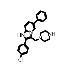 Clc1ccc(C2=C(CN3CCNCC3)N3C=C(c4ccccc4)C=CC3N2)cc1